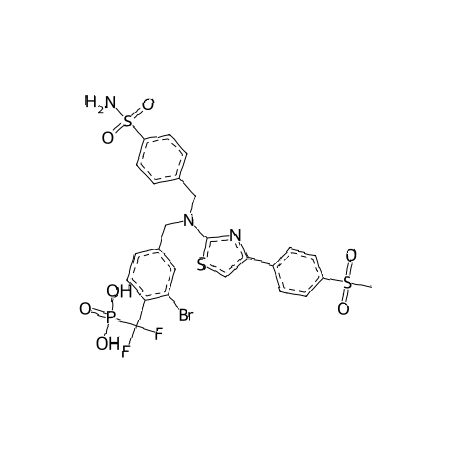 CS(=O)(=O)c1ccc(-c2csc(N(Cc3ccc(S(N)(=O)=O)cc3)Cc3ccc(C(F)(F)P(=O)(O)O)c(Br)c3)n2)cc1